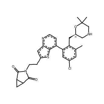 Cc1cc(Cl)cc(-c2ccnc3cc(CCN4C(=O)C5CC5C4=O)sc23)c1C[C@@H]1CNCC(C)(C)O1